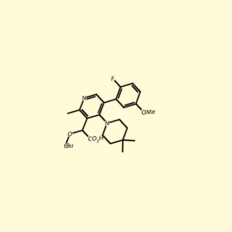 COc1ccc(F)c(-c2cnc(C)c(C(OC(C)(C)C)C(=O)O)c2N2CCC(C)(C)CC2)c1